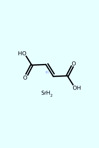 O=C(O)/C=C/C(=O)O.[SrH2]